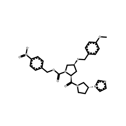 COc1ccc(CS[C@H]2C[C@@H](C(=O)N3CC[C@@H](n4ccnc4)C3)N(C(=O)OCc3ccc([N+](=O)[O-])cc3)C2)cc1